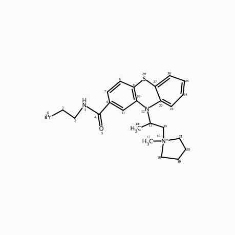 CC(C)CCNC(=O)c1ccc2c(c1)N(C(C)C[N+]1(C)CCCC1)c1ccccc1S2